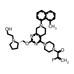 C=C(F)C(=O)N1CCN(c2nc(OC[C@@H]3CCCN3CCO)nc3c2CCN(c2cccc4cccc(C)c24)C3)CC1